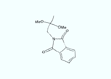 COC(C)(CN1C(=O)c2ccccc2C1=O)OC